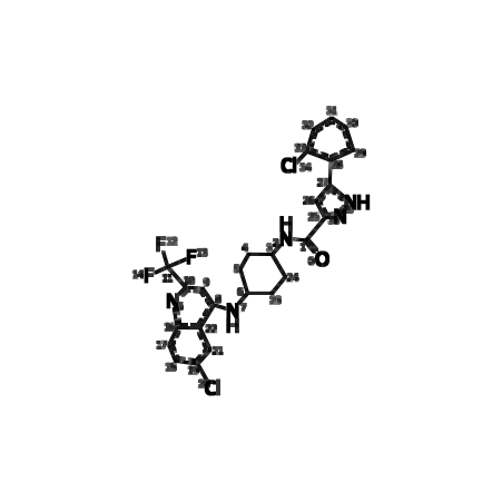 O=C(NC1CCC(Nc2cc(C(F)(F)F)nc3ccc(Cl)cc23)CC1)c1cc(-c2ccccc2Cl)[nH]n1